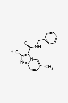 Cc1ccc2nc(C)c(C(=O)NCc3ccccc3)n2c1